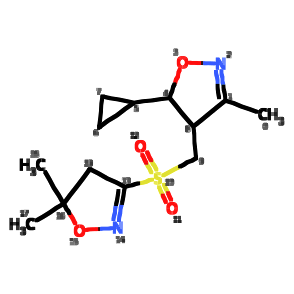 CC1=NOC(C2CC2)C1CS(=O)(=O)C1=NOC(C)(C)C1